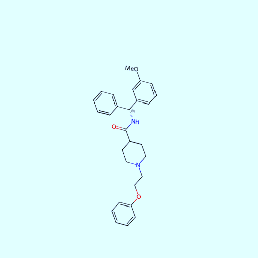 COc1cccc([C@H](NC(=O)C2CCN(CCOc3ccccc3)CC2)c2ccccc2)c1